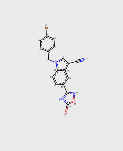 N#Cc1cn(Cc2ccc(Br)cc2)c2ccc(-c3noc(=O)[nH]3)cc12